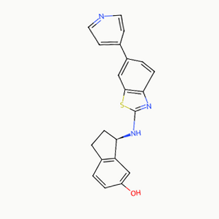 Oc1ccc2c(c1)[C@H](Nc1nc3ccc(-c4ccncc4)cc3s1)CC2